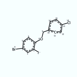 [CH2]c1cc(Br)ccc1OCc1ccc(Cl)cc1